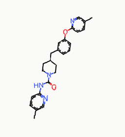 Cc1ccc(NC(=O)N2CCC(Cc3cccc(Oc4ccc(C)cn4)c3)CC2)nc1